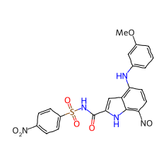 COc1cccc(Nc2ccc(N=O)c3[nH]c(C(=O)NS(=O)(=O)c4ccc([N+](=O)[O-])cc4)cc23)c1